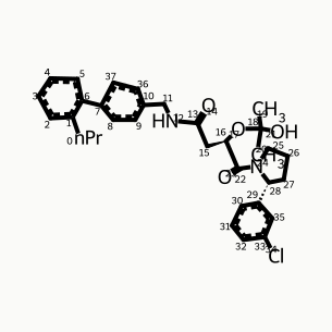 CCCc1ccccc1-c1ccc(CNC(=O)C[C@@H](OC(C)(C)O)C(=O)N2CCC[C@@H]2c2cccc(Cl)c2)cc1